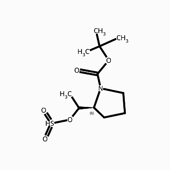 CC(O[SH](=O)=O)[C@@H]1CCCN1C(=O)OC(C)(C)C